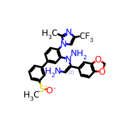 Cc1nc(C(F)(F)F)cn1-c1ccc(-c2cccc([S+](C)[O-])c2)cc1N(N)/C(=C\N)c1ccc2c(c1)OCO2